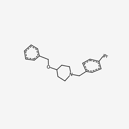 CC(C)c1ccc(CN2CCC(OCc3ccccc3)CC2)cc1